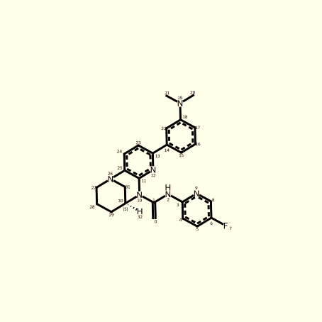 C=C(Nc1ccc(F)cn1)N1c2nc(-c3cccc(N(C)C)c3)ccc2N2CCC[C@H]1C2